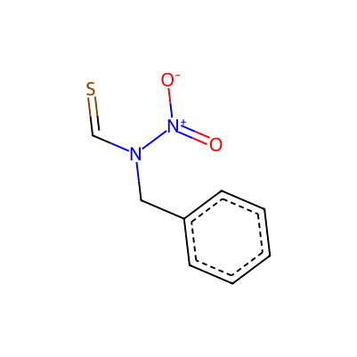 O=[N+]([O-])N(C=S)Cc1ccccc1